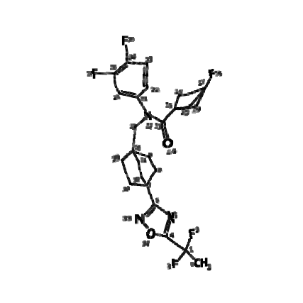 CC(F)(F)c1nc(C23CCC(CN(C(=O)C45CC(F)(C4)C5)c4ccc(F)c(F)c4)(CC2)CC3)no1